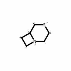 C1CN2CCC2CS1